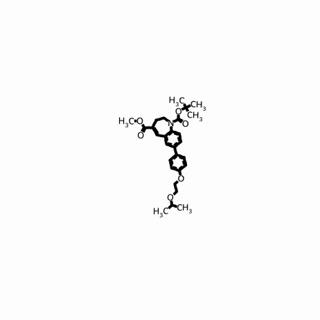 COC(=O)C1=Cc2cc(-c3ccc(OCCOC(C)C)cc3)ccc2N(C(=O)OC(C)(C)C)CC1